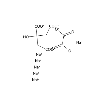 O=C([O-])CC(O)(CC(=O)[O-])C(=O)[O-].O=S([O-])S(=O)[O-].[Na+].[Na+].[Na+].[Na+].[Na+].[NaH]